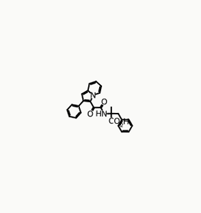 CC(Cc1ccccc1)(NC(=O)C(=O)c1c(-c2ccccc2)cc2ccccn12)C(=O)O